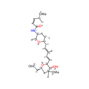 COC(C)/C=C\C(=O)NC1C[C@H](C)C(C/C=C(C)/C=C/C2O[C@H](CC=O)CC(C)(OC)[C@@H]2O)OC1C